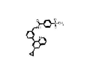 CS(=O)(=O)c1ccc(C(=O)NCc2cccc(-c3cc(C4CC4)cc4cccnc34)c2)cc1